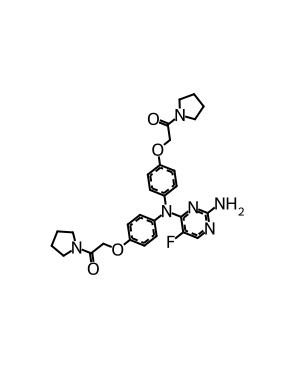 Nc1ncc(F)c(N(c2ccc(OCC(=O)N3CCCC3)cc2)c2ccc(OCC(=O)N3CCCC3)cc2)n1